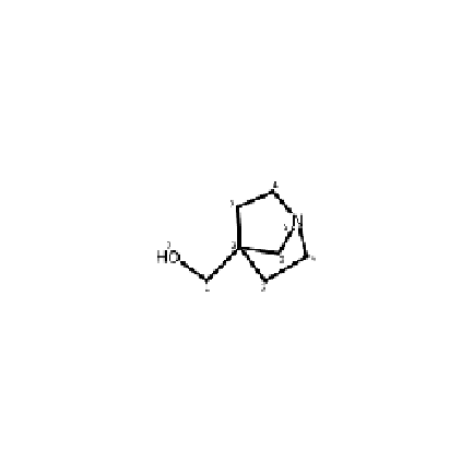 OCC12CCN(CC1)C2